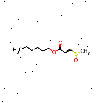 CCCCCCOC(=O)C=C[S+](C)[O-]